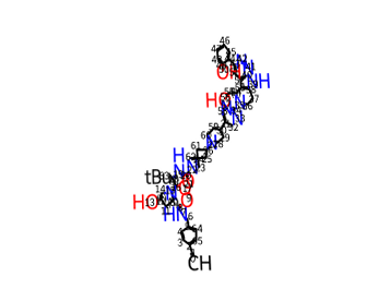 C#Cc1ccc(CNC(=O)[C@@H]2C[C@@H](O)CN2C(=O)[C@@H](NC(=O)N2CC3(CC(N4CCC(c5cnc(N6CCc7[nH]c8nnc(-c9ccccc9O)cc8c7[C@@H]6CO)nc5)CC4)C3)C2)C(C)(C)C)cc1